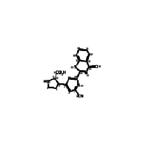 N#Cc1cc(C2CCN[C@@H]2C(=O)O)cc(-c2nc(=O)c3ccccc3s2)n1